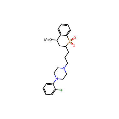 COC1CC(CCCN2CCN(c3ccccc3F)CC2)S(=O)(=O)c2ccccc21